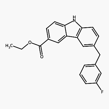 CCOC(=O)c1ccc2[nH]c3ccc(Cc4cccc(F)c4)cc3c2c1